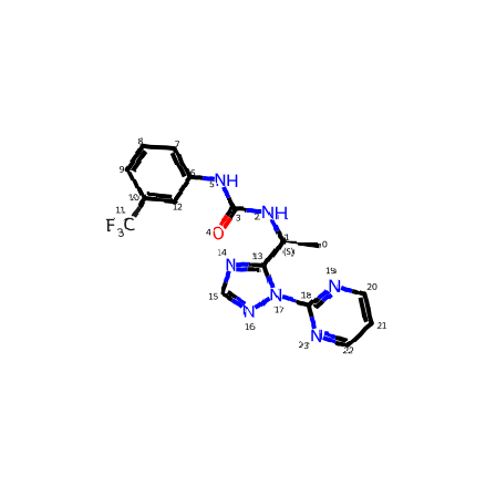 C[C@H](NC(=O)Nc1cccc(C(F)(F)F)c1)c1ncnn1-c1ncccn1